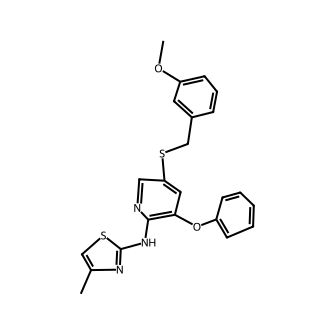 COc1cccc(CSc2cnc(Nc3nc(C)cs3)c(Oc3ccccc3)c2)c1